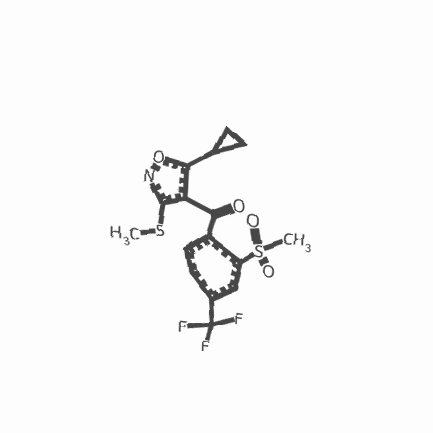 CSc1noc(C2CC2)c1C(=O)c1ccc(C(F)(F)F)cc1S(C)(=O)=O